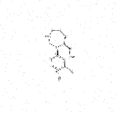 COC[C@@H]1OCCNC[C@@H]1c1ccc(Cl)c(Cl)c1